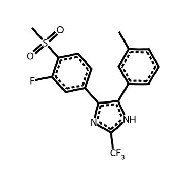 Cc1cccc(-c2[nH]c(C(F)(F)F)nc2-c2ccc(S(C)(=O)=O)c(F)c2)c1